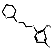 Nc1cc(Cl)ccc1OCCOC1CCCCO1